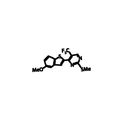 COc1ccc2sc(-c3nc(SC)ncc3C(F)(F)F)cc2c1